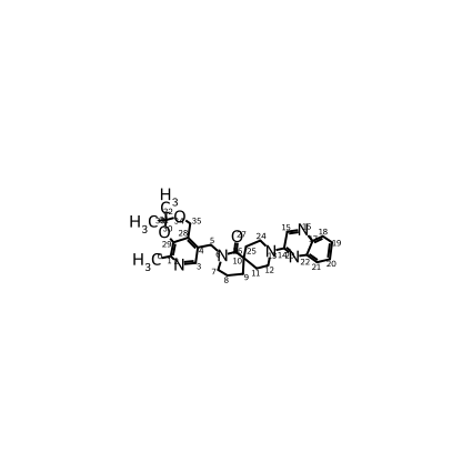 Cc1ncc(CN2CCCC3(CCN(c4cnc5ccccc5n4)CC3)C2=O)c2c1OC(C)(C)OC2